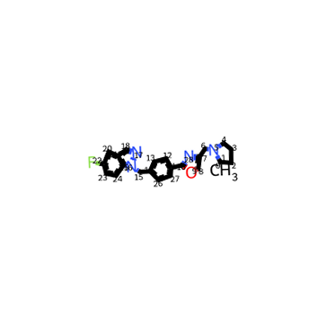 C[C@H]1CCCN1Cc1coc(-c2ccc(Cn3ncc4cc(F)ccc43)cc2)n1